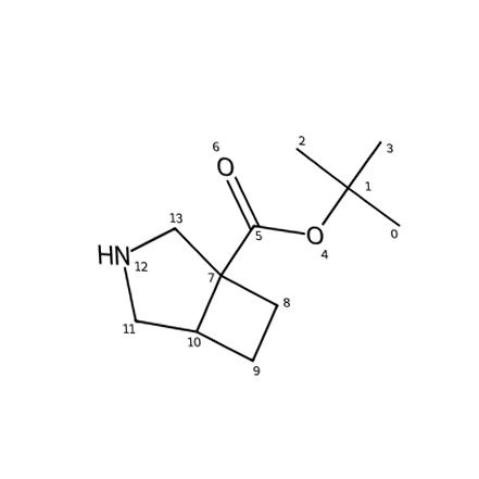 CC(C)(C)OC(=O)C12CCC1CNC2